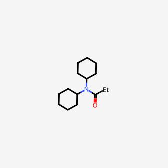 CCC(=O)N(C1CCCCC1)C1CCCCC1